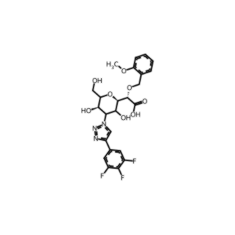 COc1ccccc1CO[C@H](C(=O)O)[C@@H]1OC(CO)[C@H](O)C(n2cc(-c3cc(F)c(F)c(F)c3)nn2)C1O